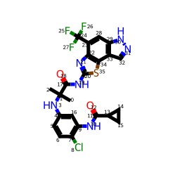 CC(C)(Nc1ccc(Cl)c(NC(=O)C2CC2)c1)C(=O)Nc1nc2c(C(F)(F)F)cc3[nH]ncc3c2s1